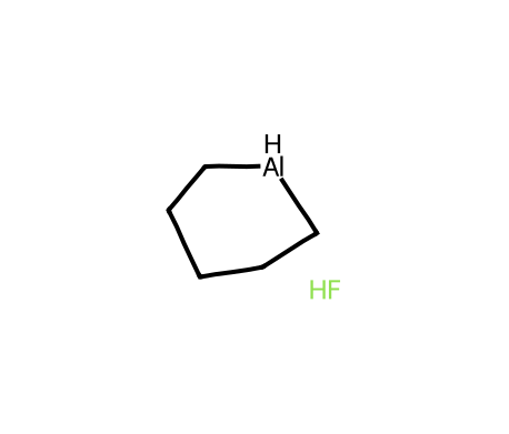 C1C[CH2][AlH][CH2]C1.F